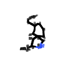 CC(C)CC1CCCC2(CNC(C(=O)O)C2)C1